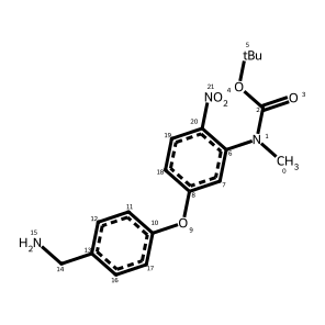 CN(C(=O)OC(C)(C)C)c1cc(Oc2ccc(CN)cc2)ccc1[N+](=O)[O-]